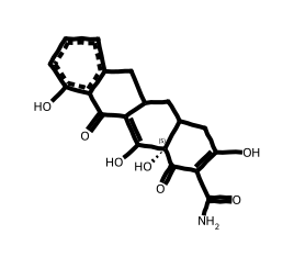 NC(=O)C1=C(O)CC2CC3Cc4cccc(O)c4C(=O)C3=C(O)[C@]2(O)C1=O